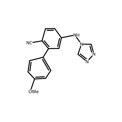 COc1ccc(-c2cc(Nn3cnnc3)ccc2C#N)cc1